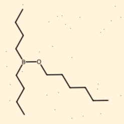 CCCCCCOB(CCCC)CCCC